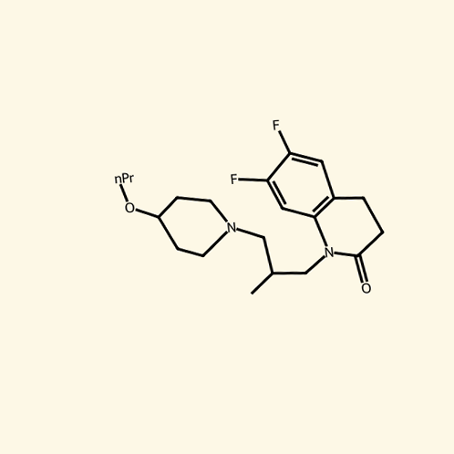 CCCOC1CCN(CC(C)CN2C(=O)CCc3cc(F)c(F)cc32)CC1